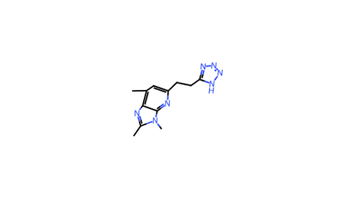 Cc1cc(CCc2nnn[nH]2)nc2c1nc(C)n2C